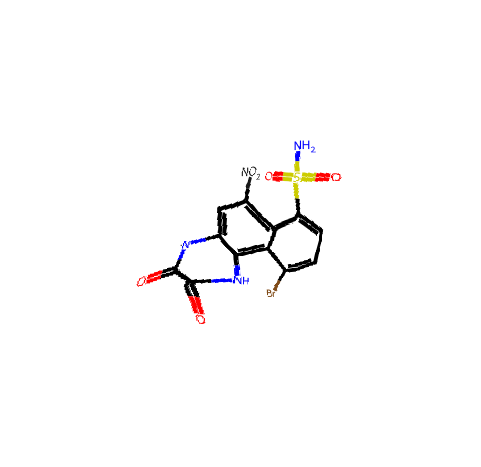 NS(=O)(=O)c1ccc(Br)c2c3c(cc([N+](=O)[O-])c12)[N]C(=O)C(=O)N3